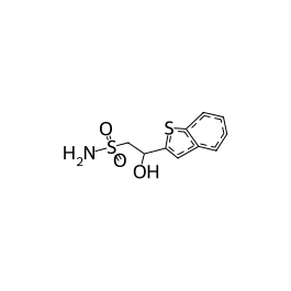 NS(=O)(=O)CC(O)c1cc2ccccc2s1